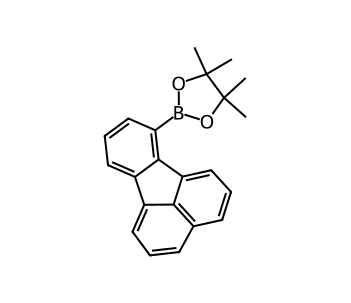 CC1(C)OB(c2cccc3c2-c2cccc4cccc-3c24)OC1(C)C